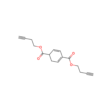 C#CCCOC(=O)C1=CCC(C(=O)OCCC#C)C=C1